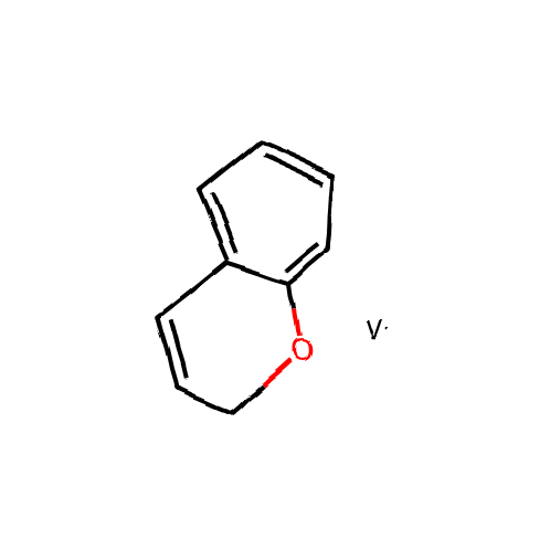 C1=Cc2ccccc2OC1.[V]